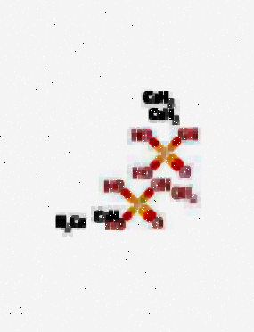 O.O=P(O)(O)O.O=P(O)(O)O.[CaH2].[CaH2].[CaH2].[CaH2]